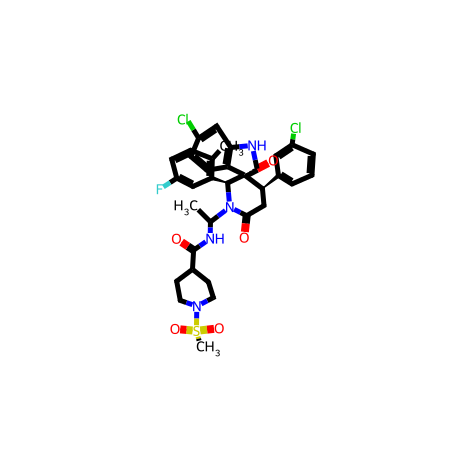 Cc1ccc(F)cc1[C@@H]1N(C(C)NC(=O)C2CCN(S(C)(=O)=O)CC2)C(=O)C[C@H](c2cccc(Cl)c2)[C@@]12C(=O)Nc1cc(Cl)ccc12